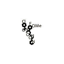 COc1cc2c(CC(=O)c3ncc(-c4ccccn4)o3)c(C)n(C(=O)c3ccc(Cl)cc3)c2cc1F